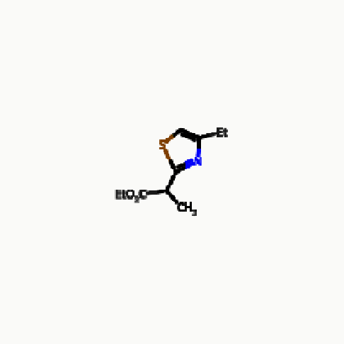 CCOC(=O)C(C)c1nc(CC)cs1